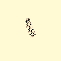 O=S(=O)(O)c1ccc(-c2ccc(-c3cc[c]cc3)cc2)cc1